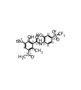 Cc1c([S+](C)[O-])cc(C(C)(C)C)c(O)c1C(=O)Nc1ccc(S(=O)(=O)C(F)(F)F)cc1C#N